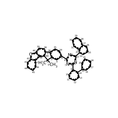 CC1(C)c2cc(-c3nc(-c4ccccc4-c4ccccc4)nc(-c4cccc5ccccc45)n3)ccc2-c2ccc3oc4ccccc4c3c21